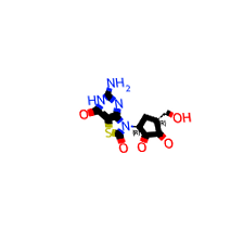 Nc1nc2c(sc(=O)n2[C@@H]2C[C@H](CO)C(=O)C2=O)c(=O)[nH]1